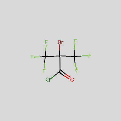 O=C(Cl)C(Br)(C(F)(F)F)C(F)(F)F